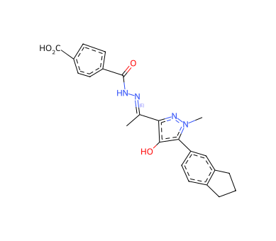 C/C(=N\NC(=O)c1ccc(C(=O)O)cc1)c1nn(C)c(-c2ccc3c(c2)CCC3)c1O